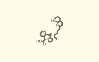 C[C@@H]1CCc2ccc(CCCCC(F)[C@@H]3CCN([C@H](C(=O)O)c4cccnc4C4CC4)C3)nc2N1